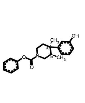 C[C@H]1CN(C(=O)Oc2ccccc2)CC[C@@]1(C)c1cccc(O)c1